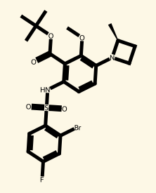 COc1c(N2CC[C@@H]2C)ccc(NS(=O)(=O)c2ccc(F)cc2Br)c1C(=O)OC(C)(C)C